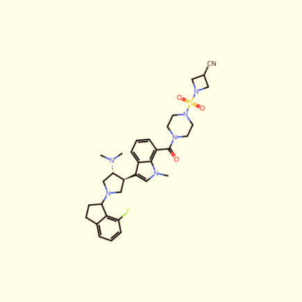 CN(C)[C@H]1CN(C2CCc3cccc(F)c32)C[C@@H]1c1cn(C)c2c(C(=O)N3CCN(S(=O)(=O)N4CC(C#N)C4)CC3)cccc12